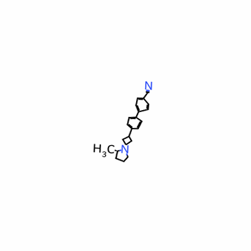 C[C@@H]1CCCN1C1CC(c2ccc(-c3ccc(C#N)cc3)cc2)C1